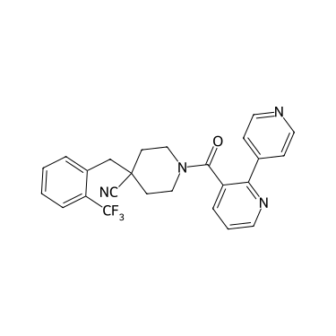 N#CC1(Cc2ccccc2C(F)(F)F)CCN(C(=O)c2cccnc2-c2ccncc2)CC1